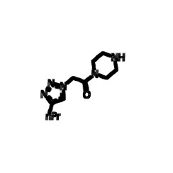 CCCc1cn(CC(=O)N2CCNCC2)nn1